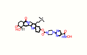 CC[C@@]1(O)C(=O)CCc2c1cc1n(c2=O)Cc2c-1nc1ccc(OC(=O)N3CCN(c4ncc(C(=O)NO)cn4)CC3)cc1c2CC[Si](C)(C)C